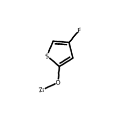 Fc1csc([O][Zr])c1